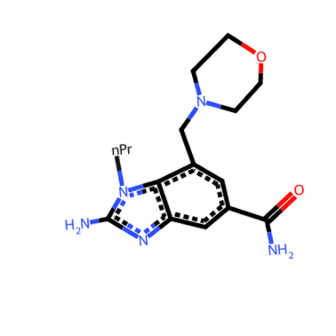 CCCn1c(N)nc2cc(C(N)=O)cc(CN3CCOCC3)c21